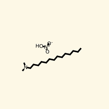 CCCCCCCCCCCCCCN(C)C.O=[N+]([O-])O